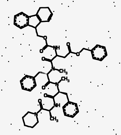 C[C@H](NC(=O)[C@H](Cc1ccccc1)N(C)C(=O)[C@H](Cc1ccccc1)N(C)C(=O)C(CC(=O)OCc1ccccc1)NC(=O)OCC1C2=C(CCC=C2)c2ccccc21)C(=O)N1CCCCC1